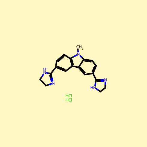 Cl.Cl.Cn1c2ccc(C3=NCCN3)cc2c2cc(C3=NCCN3)ccc21